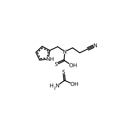 N#CCCN(Cc1ccc[nH]1)C(O)=S.NC(O)=S